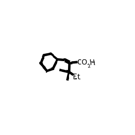 CCC(C)(C)C(=CC1CCCCC1)C(=O)O